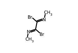 CN=C(Br)C(Br)=NC